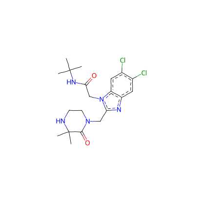 CC(C)(C)NC(=O)Cn1c(CN2CCNC(C)(C)C2=O)nc2cc(Cl)c(Cl)cc21